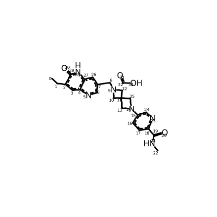 CCc1cc2ncc(CN3CC4(C3)CN(c3ccc(C(=O)NC)nc3)C4)cc2[nH]c1=O.O=CO